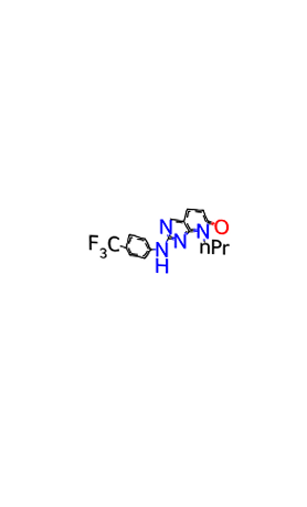 CCCn1c(=O)ccc2cnc(Nc3ccc(C(F)(F)F)cc3)nc21